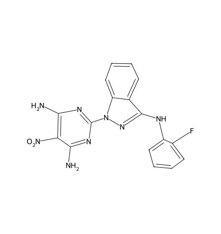 Nc1nc(-n2nc(Nc3ccccc3F)c3ccccc32)nc(N)c1[N+](=O)[O-]